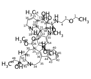 CCOCCNC(=O)[C@@]1(O)[C@H](O)[C@]2(CC)C=CCN3CC[C@@]4(C5=CC([C@@]6(C(=O)OC)C[C@H]7CN(CCc8c6[nH]c6ccccc86)C[C@](O)(CC)C7)C(OC)C=C5N(C)[C@@H]14)[C@@H]32